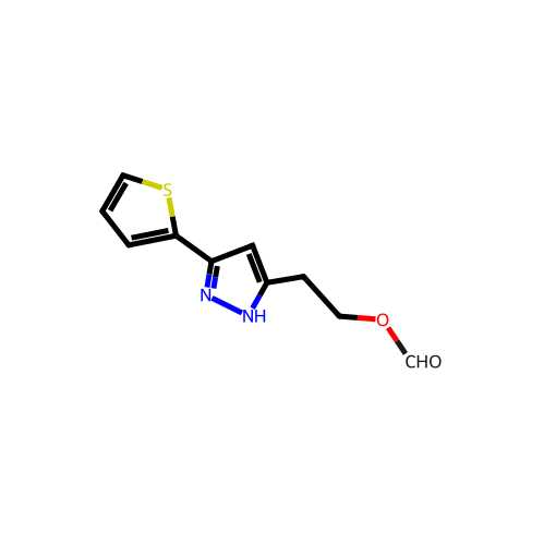 O=COCCc1cc(-c2cccs2)n[nH]1